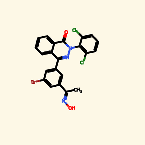 C/C(=N\O)c1cc(Br)cc(-c2nn(-c3c(Cl)cccc3Cl)c(=O)c3ccccc23)c1